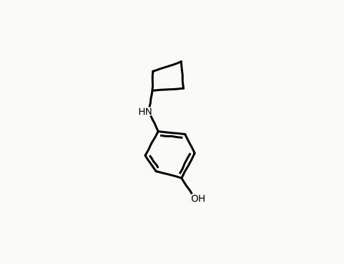 Oc1ccc(NC2CCC2)cc1